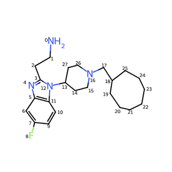 NCCc1nc2cc(F)ccc2n1C1CCN(CC2CCCCCCC2)CC1